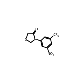 O=C1CSCN1c1cc([N+](=O)[O-])cc(C(F)(F)F)c1